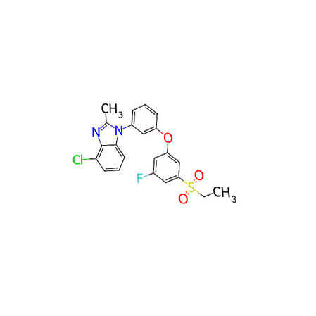 CCS(=O)(=O)c1cc(F)cc(Oc2cccc(-n3c(C)nc4c(Cl)cccc43)c2)c1